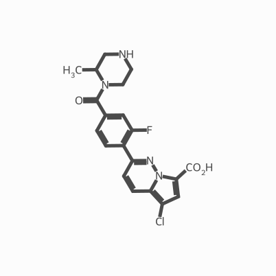 CC1CNCCN1C(=O)c1ccc(-c2ccc3c(Cl)cc(C(=O)O)n3n2)c(F)c1